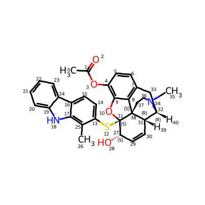 CC(=O)Oc1ccc2c3c1O[C@@]1(Sc4ccc5c([nH]c6ccccc65)c4C)[C@@H](O)C=C[C@H]4[C@@H](C2)N(C)CC[C@@]341